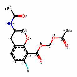 CCCC(=O)NC1BOc2c(ccc(F)c2C(=O)OCOC(=O)C(C)(C)C)C1